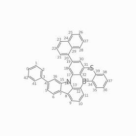 c1ccc(-c2ccc3c4cccc5c4n(c3c2)-c2cc(-c3cccc4ccccc34)cc3c2B5c2ccccc2S3)cc1